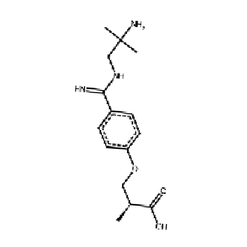 C[C@@H](COc1ccc(C(=N)NCC(C)(C)N)cc1)C(=O)O